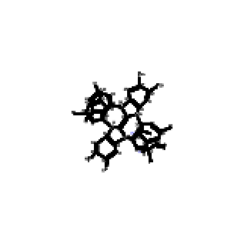 C=C/C(C)=C\C(=C/C)N1C(=C2N(c3cc(C)cc(C)c3)c3cc(F)c(F)cc3N2c2cc(C)cc(C)c2)N(c2cc(C)cc(C)c2)c2cc(F)c(F)cc21